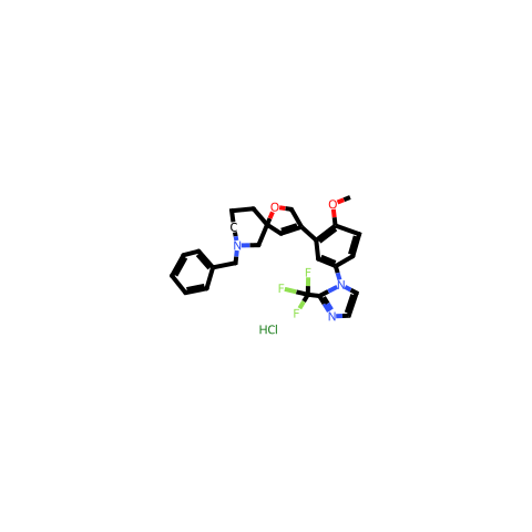 COc1ccc(-n2ccnc2C(F)(F)F)cc1C1=CC2(CCCN(Cc3ccccc3)C2)OC1.Cl